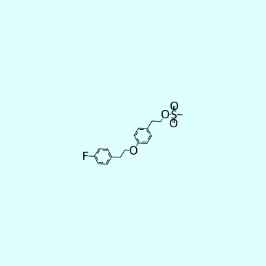 CS(=O)(=O)OCCc1ccc(OCCc2ccc(F)cc2)cc1